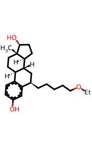 CCOCCCCC[C@@H]1C[C@@H]2[C@H](CC[C@]3(C)[C@@H](O)CC[C@@H]23)c2ccc(O)cc21